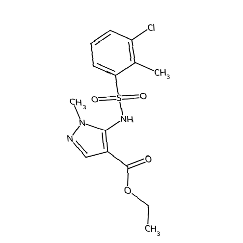 CCOC(=O)c1cnn(C)c1NS(=O)(=O)c1cccc(Cl)c1C